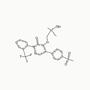 CC(C)(O)COc1c(-c2ccc(S(C)(=O)=O)cc2)cnn(-c2ccccc2C(F)(F)F)c1=O